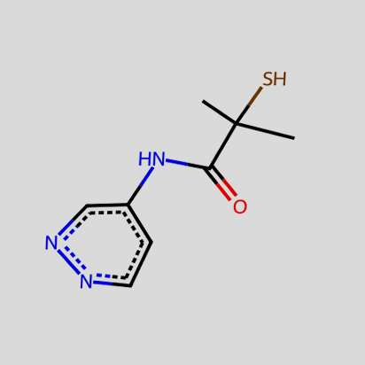 CC(C)(S)C(=O)Nc1ccnnc1